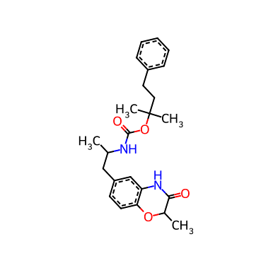 CC(Cc1ccc2c(c1)NC(=O)C(C)O2)NC(=O)OC(C)(C)CCc1ccccc1